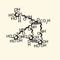 O=C(CCS[C@H]1O[C@H](CO)[C@@H](O)[C@H](O)[C@@H]1O)NCCCC[C@H](NC(=O)[C@H](CCCCNC(=O)CCS[C@H]1O[C@H](CO)[C@@H](O)[C@H](O)[C@@H]1O)NC(=O)[C@H](CCCCNC(=O)CCS[C@H]1O[C@H](CO)[C@@H](O)[C@H](O)[C@@H]1O)NC(=O)CCS[C@H]1O[C@H](CO)[C@@H](O)[C@H](O)[C@@H]1O)C(=O)O